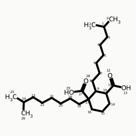 CC(C)CCCCCCC1C(C(=O)O)CCCC1(CCCCCCC(C)C)C(=O)O